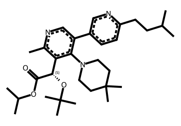 Cc1ncc(-c2ccc(CCC(C)C)nc2)c(N2CCC(C)(C)CC2)c1[C@H](OC(C)(C)C)C(=O)OC(C)C